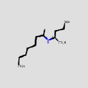 CCCCCCCCCCCCCCC(C)N[C@@H](CCSC)C(=O)O